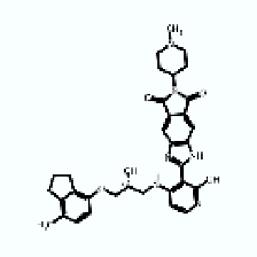 Cc1ccc(OC[C@H](O)CNc2ccnc(O)c2-c2nc3cc4c(cc3[nH]2)C(=O)N(C2CCN(C)CC2)C4=O)c2c1CCC2